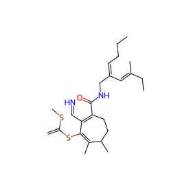 C=C(SC)SC1=C(C)C(C)CCC(C(=O)NCC(/C=C(\C)CC)=C/CCC)=C1C=N